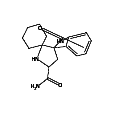 NC(=O)C1CC2(C(=O)Nc3ccccc32)C2(CCCCC2)N1